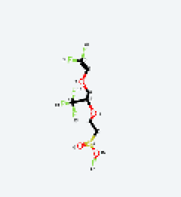 O=S(CCOC(COC=C(F)F)C(F)(F)F)OF